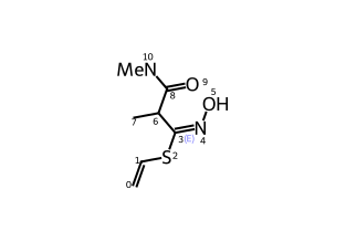 C=CS/C(=N/O)C(C)C(=O)NC